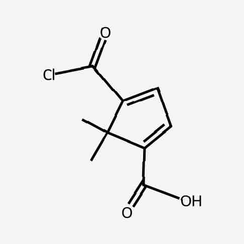 CC1(C)C(C(=O)O)=CC=C1C(=O)Cl